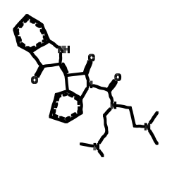 CN(C)CCN(CCN(C)C)C(=O)N1C(=O)/C(=C2\Nc3ccccc3C2=O)c2ccccc21